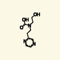 O=C(O)N(CCO)CCc1cnccn1